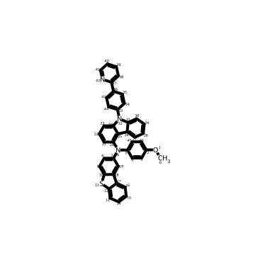 COc1ccc(N(c2ccc3sc4ccccc4c3c2)c2cccc3c2c2ccccc2n3-c2ccc(-c3ccccn3)cc2)cc1